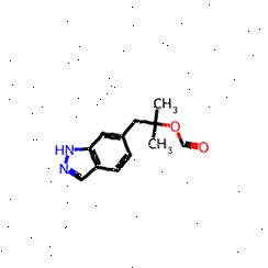 CC(C)(Cc1ccc2cn[nH]c2c1)OC=O